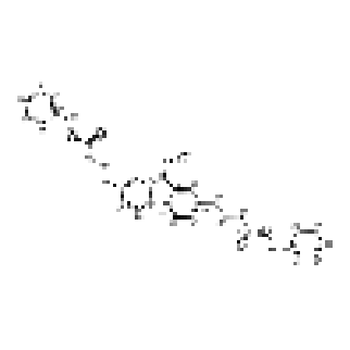 O=CC1c2cc(CCCC(=O)OCc3ccccc3)ccc2-c2ccc(CCCC(=O)OCc3ccccc3)cc21